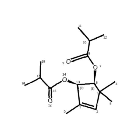 CC1=CC(C)(C)[C@H](OC(=O)C(C)C)[C@@H]1OC(=O)C(C)C